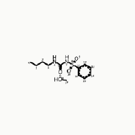 CCCCNC(=O)NS(=O)(=O)c1ccccc1.CO